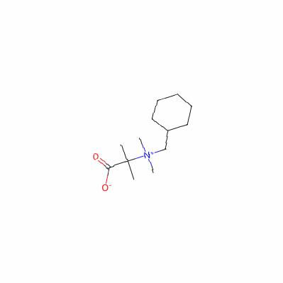 CC(C)(C(=O)[O-])[N+](C)(C)CC1CCCCC1